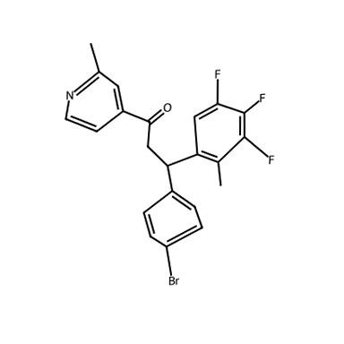 Cc1cc(C(=O)CC(c2ccc(Br)cc2)c2cc(F)c(F)c(F)c2C)ccn1